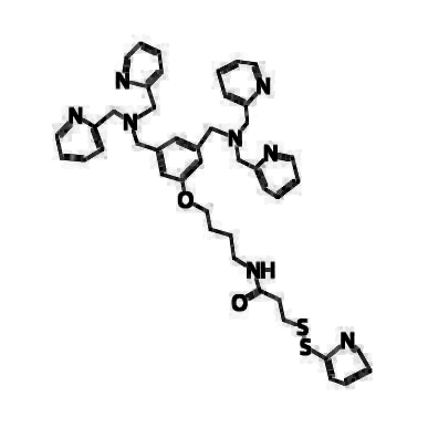 O=C(CCSSc1ccccn1)NCCCCOc1cc(CN(Cc2ccccn2)Cc2ccccn2)cc(CN(Cc2ccccn2)Cc2ccccn2)c1